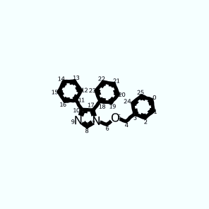 c1ccc(COCn2cnc(-c3ccccc3)c2-c2ccccc2)cc1